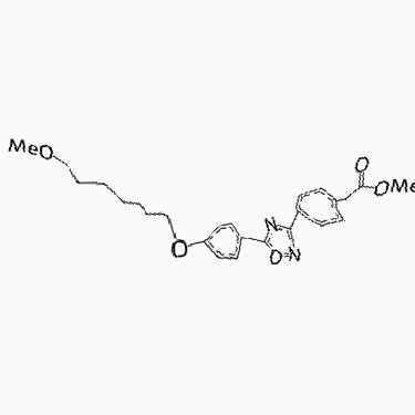 COCCCCCCCOc1ccc(-c2nc(-c3ccc(C(=O)OC)cc3)no2)cc1